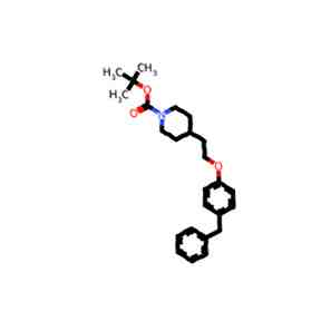 CC(C)(C)OC(=O)N1CCC(CCOc2ccc(Cc3ccccc3)cc2)CC1